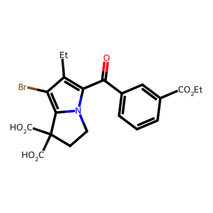 CCOC(=O)c1cccc(C(=O)c2c(CC)c(Br)c3n2CCC3(C(=O)O)C(=O)O)c1